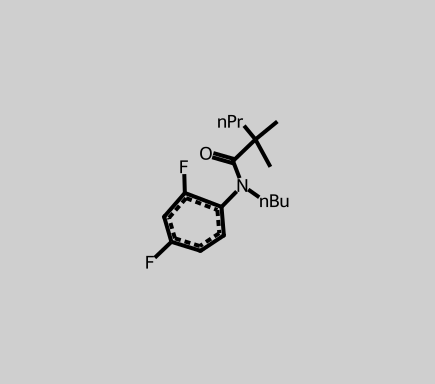 CCCCN(C(=O)C(C)(C)CCC)c1ccc(F)cc1F